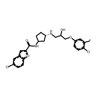 O=C(NC1CC[C@H](NCC(O)COc2ccc(Cl)c(F)c2)C1)c1cc2cc(Cl)ccc2o1